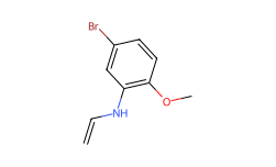 C=CNc1cc(Br)ccc1OC